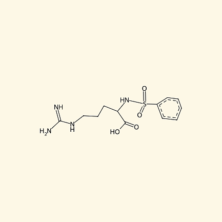 N=C(N)NCCCC(NS(=O)(=O)c1ccccc1)C(=O)O